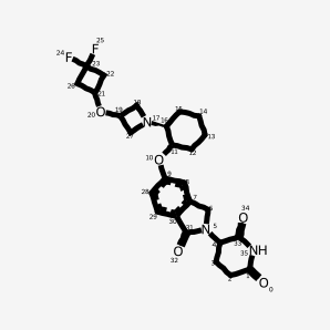 O=C1CCC(N2Cc3cc(OC4CCCC[C@@H]4N4CC(OC5CC(F)(F)C5)C4)ccc3C2=O)C(=O)N1